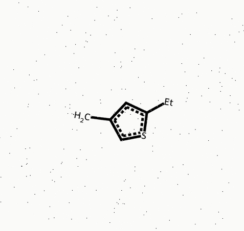 [CH2]c1csc(CC)c1